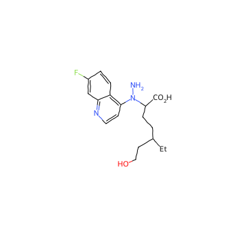 CCC(CCO)CCC(C(=O)O)N(N)c1ccnc2cc(F)ccc12